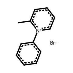 Cc1cccc[n+]1-c1ccccc1.[Br-]